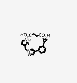 O=C(O)CCC(=O)O.c1cc(-c2cnn(Cc3cc[nH]n3)c2)cc(C2CC2)c1